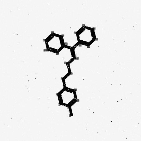 Cc1ccc(CCON=C(c2ccccc2)c2cccnc2)cc1